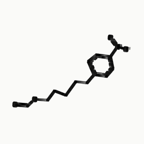 O=COCCCCCc1ccc([N+](=O)[O-])cc1